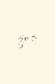 Cc1cn([C@H]2C[C@H](O)[C@@H](C(O)[C@@]3(n4ccc(N)nc4=O)O[C@H](C)[C@@H](O)[C@H]3O)O2)c(=O)[nH]c1=O